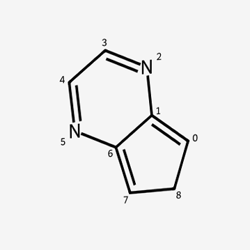 C1=c2nccnc2=CC1